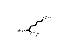 CCCCCCCCCCCCC(CCCCCC)C(=O)O